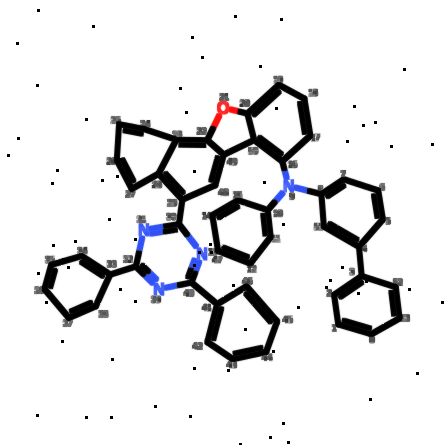 c1ccc(-c2cccc(N(c3ccccc3)c3cccc4oc5c6ccccc6c(-c6nc(-c7ccccc7)nc(-c7ccccc7)n6)cc5c34)c2)cc1